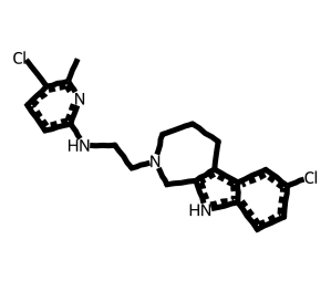 Cc1nc(NCCN2CCCc3c([nH]c4ccc(Cl)cc34)C2)ccc1Cl